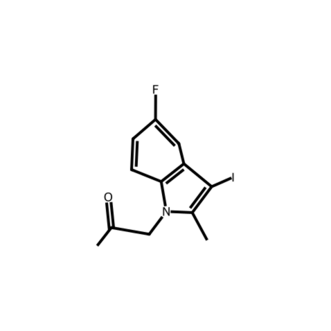 CC(=O)Cn1c(C)c(I)c2cc(F)ccc21